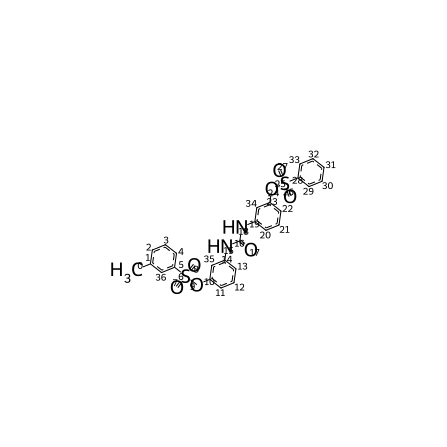 Cc1cccc(S(=O)(=O)Oc2cccc(NC(=O)Nc3cccc(OS(=O)(=O)c4ccccc4)c3)c2)c1